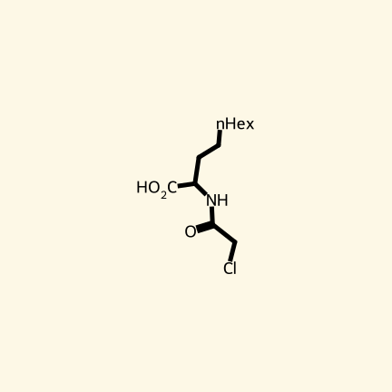 CCCCCCCCC(NC(=O)CCl)C(=O)O